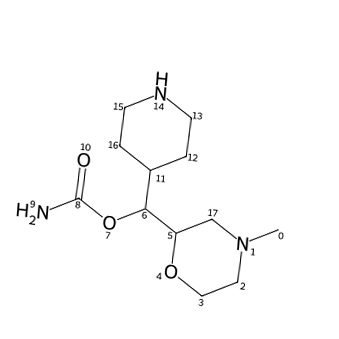 CN1CCOC(C(OC(N)=O)C2CCNCC2)C1